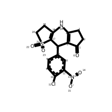 O=C1CCC2=C1C(c1ccc(Cl)c([N+](=O)[O-])c1)C1=C(CCS1(=O)=O)N2